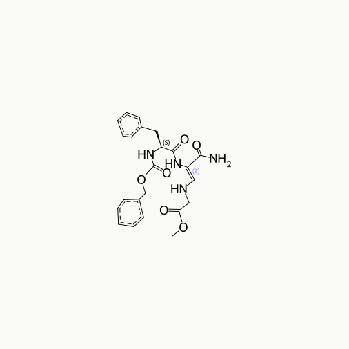 COC(=O)CN/C=C(\NC(=O)[C@H](Cc1ccccc1)NC(=O)OCc1ccccc1)C(N)=O